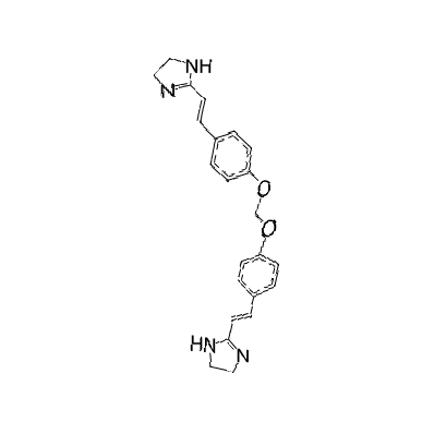 C(=Cc1ccc(OCOc2ccc(C=CC3=NCCN3)cc2)cc1)C1=NCCN1